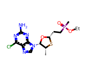 CCOP(C)(=O)CC[C@H]1O[C@@H](n2cnc3c(Cl)nc(N)nc32)[C@@H](C)S1